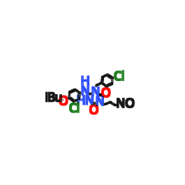 CC[C@@H](C)Oc1ccc(NC2NC(=O)N(CCCN=O)C(=O)N2Cc2ccc(Cl)cc2)cc1Cl